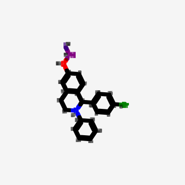 Brc1ccc(C2c3ccc(OPI)cc3CCN2c2ccccc2)cc1